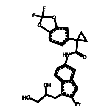 CC(C)c1cc2cc(NC(=O)C3(c4ccc5c(c4)OC(F)(F)O5)CC3)ccc2n1CC(O)CO